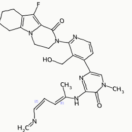 C=N/C=C\C=C(/C)Nc1nc(-c2ccnc(N3CCn4c5c(c(F)c4C3=O)CCCC5)c2CO)cn(C)c1=O